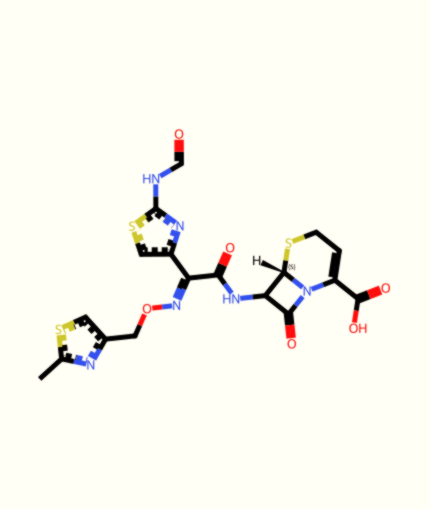 Cc1nc(CON=C(C(=O)NC2C(=O)N3C(C(=O)O)=CCS[C@@H]23)c2csc(NC=O)n2)cs1